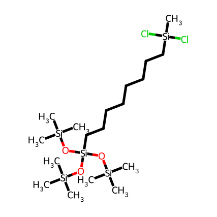 C[Si](Cl)(Cl)CCCCCCCC[Si](O[Si](C)(C)C)(O[Si](C)(C)C)O[Si](C)(C)C